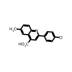 Cc1ccc2nc(-c3ccc(Cl)cc3)cc(C(=O)O)c2c1